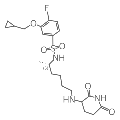 C[C@@H](CCCCNC1CCC(=O)NC1=O)NS(=O)(=O)c1ccc(F)c(OCC2CC2)c1